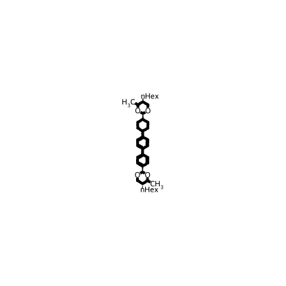 CCCCCC[C@@H]1CO[C@@H](c2ccc(-c3ccc(C4CCC([C@@H]5OC[C@@H](CCCCCC)C(C)O5)CC4)cc3)cc2)OC1C